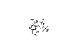 C[C@H]1C[C@@H](C(F)(F)F)CN(c2c([N+](=O)[O-])cnc3c2CCC3)C1